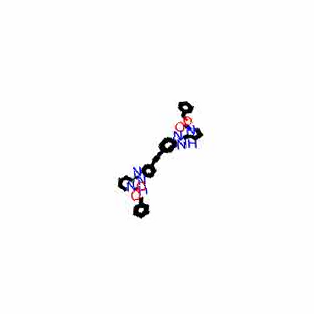 O=C(OCc1ccccc1)N1CCCC1c1nc2ccc(C#Cc3ccc4[nH]c([C@@H]5CCCCN5C(=O)OCc5ccccc5)nc4c3)cc2[nH]1